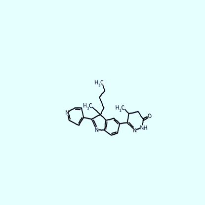 CCCCC1(C)C(c2ccncc2)=Nc2ccc(C3=NNC(=O)CC3C)cc21